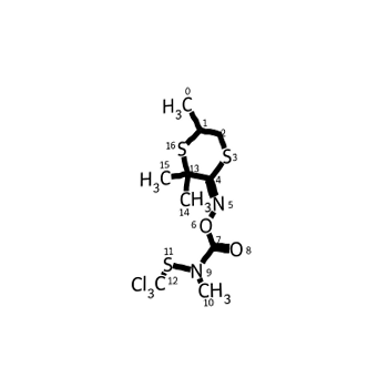 CC1CSC(=NOC(=O)N(C)SC(Cl)(Cl)Cl)C(C)(C)S1